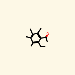 CCc1c(C)c(C)c(C)c(C)c1C(C)=O